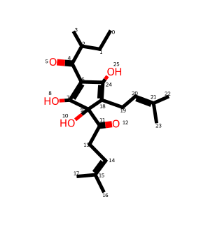 CCC(C)C(=O)C1=C(O)C(O)(C(=O)CC=C(C)C)C(CC=C(C)C)=C1O